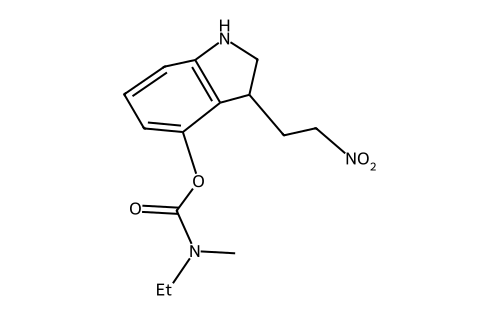 CCN(C)C(=O)Oc1cccc2c1C(CC[N+](=O)[O-])CN2